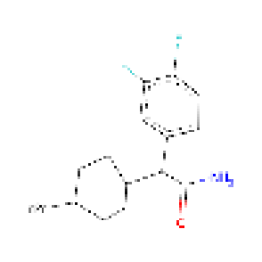 CCCC1CCC(C(C(N)=O)c2ccc(F)c(F)c2)CC1